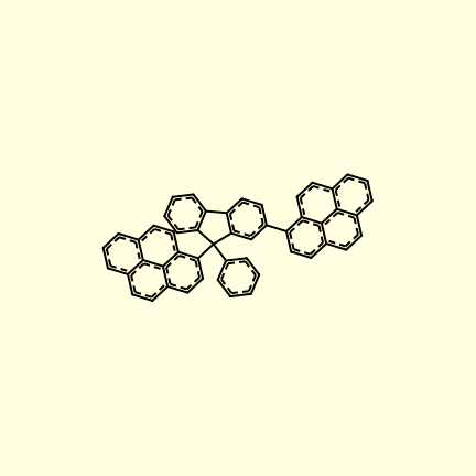 c1ccc(C2(c3ccc4ccc5cccc6ccc3c4c56)c3ccccc3-c3ccc(-c4ccc5ccc6cccc7ccc4c5c67)cc32)cc1